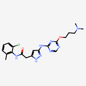 Cc1cccc(Cl)c1NC(=O)Cc1cc(Nc2ncnc(OCCCN(C)C)n2)n[nH]1